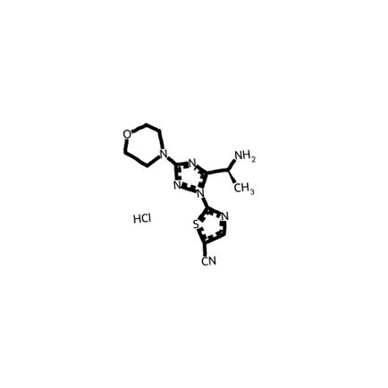 C[C@H](N)c1nc(N2CCOCC2)nn1-c1ncc(C#N)s1.Cl